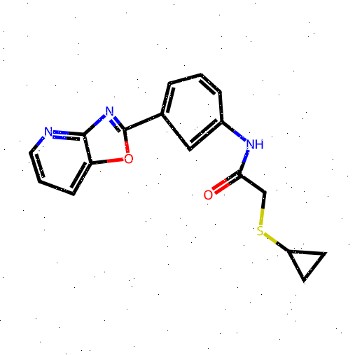 O=C(CSC1CC1)Nc1cccc(-c2nc3ncccc3o2)c1